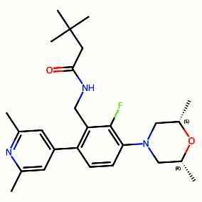 Cc1cc(-c2ccc(N3C[C@@H](C)O[C@@H](C)C3)c(F)c2CNC(=O)CC(C)(C)C)cc(C)n1